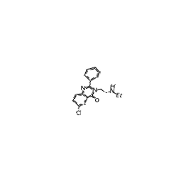 CCNCCn1c(-c2ccccc2)nc2ccc(Cl)cc2c1=O